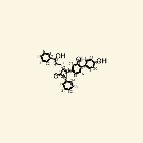 O=C1[C@H](CC[C@H](O)c2ccccc2)[C@@H](c2ccc(-c3ccc(O)cc3)c(O)c2)N1c1ccccc1